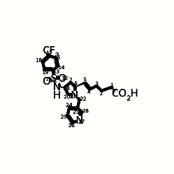 O=C(O)CCCC=C[C@@H]1C[C@@H](NS(=O)(=O)c2ccc(C(F)(F)F)cc2)CN1Cc1cccnc1